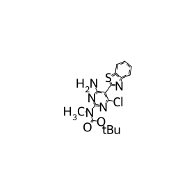 CN(C(=O)OC(C)(C)C)c1nc(N)c(-c2nc3ccccc3s2)c(Cl)n1